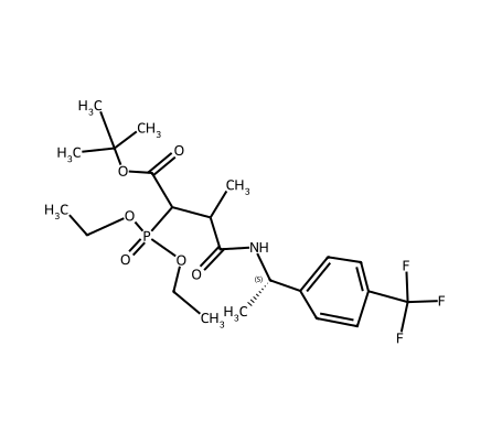 CCOP(=O)(OCC)C(C(=O)OC(C)(C)C)C(C)C(=O)N[C@@H](C)c1ccc(C(F)(F)F)cc1